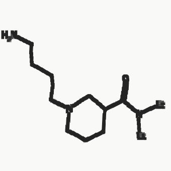 CCN(CC)C(=O)C1CCCN(CCCCN)C1